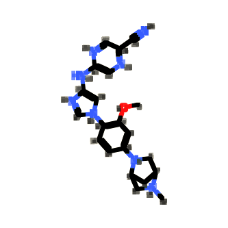 COc1cc(N2CC3CC2CN3C)ccc1-n1cnc(Nc2cnc(C#N)cn2)c1